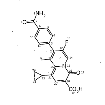 Cc1c(-c2ccc(C(N)=O)cc2)c(F)cn2c(=O)c(C(=O)O)cc(C3CC3)c12